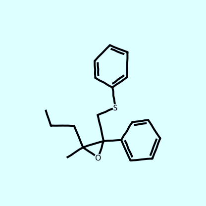 CCCC1(C)OC1(CSc1ccccc1)c1ccccc1